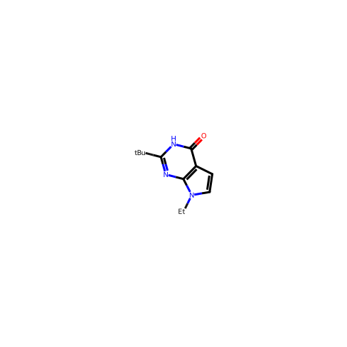 CCn1ccc2c(=O)[nH]c(C(C)(C)C)nc21